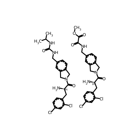 CC(C)NC(=O)NCc1ccc2c(c1)CN(C(=O)[C@H](N)Cc1ccc(Cl)cc1Cl)C2.COC(=O)C(=O)NCc1ccc2c(c1)CN(C(=O)[C@H](N)Cc1ccc(Cl)cc1Cl)C2